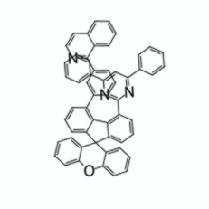 c1ccc(-c2cc(-c3ccccc3)nc(-c3cccc4c3-c3c(-c5cccc(-c6nccc7ccccc67)c5)cccc3C43c4ccccc4Oc4ccccc43)n2)cc1